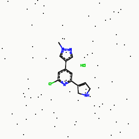 Cl.Cn1cc(-c2cc(Cl)nc(C3=CCNC3)c2)cn1